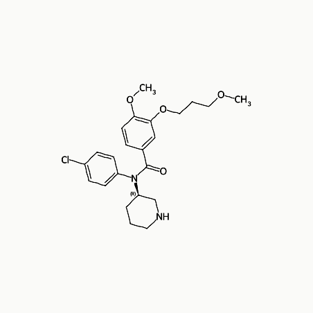 COCCCOc1cc(C(=O)N(c2ccc(Cl)cc2)[C@@H]2CCCNC2)ccc1OC